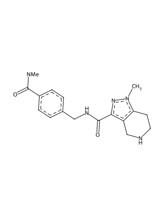 CNC(=O)c1ccc(CNC(=O)c2nn(C)c3c2CNCC3)cc1